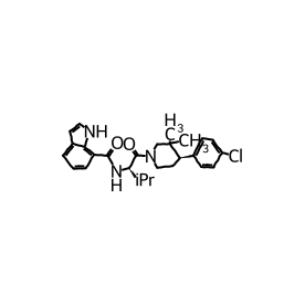 CC(C)[C@@H](NC(=O)c1cccc2cc[nH]c12)C(=O)N1CC[C@H](c2ccc(Cl)cc2)C(C)(C)C1